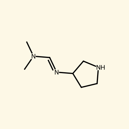 CN(C)C=NC1CCNC1